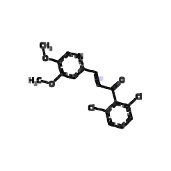 COc1cnc(/C=C/C(=O)c2c(Cl)cccc2Cl)cc1OC